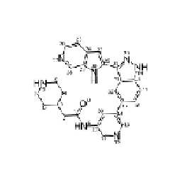 O=C(CC1CCNCC1)Nc1cncc(-c2ccc3[nH]nc(-c4cc5ccncc5[nH]4)c3c2)c1